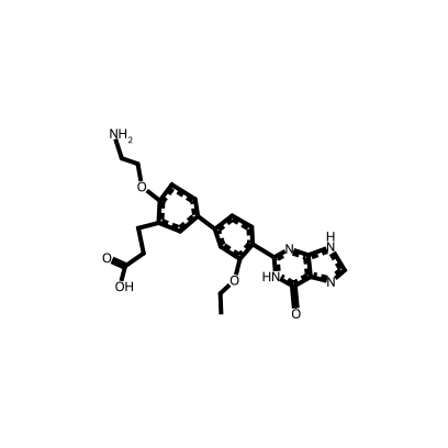 CCOc1cc(-c2ccc(OCCN)c(CCC(=O)O)c2)ccc1-c1nc2[nH]cnc2c(=O)[nH]1